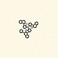 c1ccc(-c2cc3ccccc3c3c2oc2c(N(c4cccc5c4oc4ccc6ccccc6c45)c4cccc5c4oc4ccc6ccccc6c45)cccc23)cc1